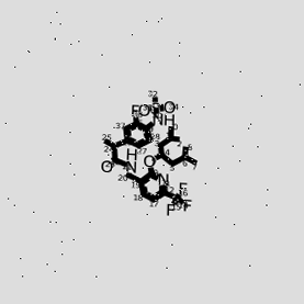 CC(C)CC(CC(C)C)Oc1nc(C(F)(F)F)ccc1CNC(=O)C(C)c1ccc(NS(C)(=O)=O)c(F)c1